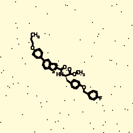 CCCOc1ccc(-c2ccc3sc(C(=O)N[C@@H](Cc4ccc(OCc5ccc(F)cc5)cc4)C(=O)OC)cc3c2)cc1